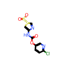 O=C(NC1=CS(=S(=O)=O)C=N1)Oc1ccc(Cl)nc1